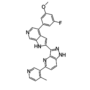 COc1cc(F)cc(-c2cncc3[nH]c(-c4n[nH]c5ccc(-c6cnccc6C)nc45)cc23)c1